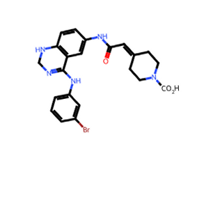 O=C(C=C1CCN(C(=O)O)CC1)Nc1ccc2c(c1)C(Nc1cccc(Br)c1)=NCN2